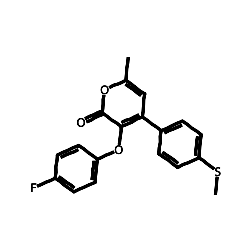 CSc1ccc(-c2cc(C)oc(=O)c2Oc2ccc(F)cc2)cc1